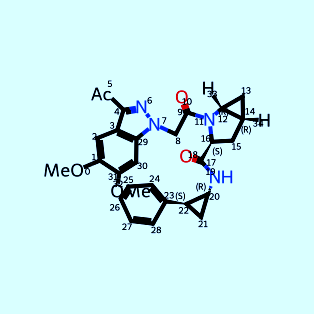 COc1cc2c(C(C)=O)nn(CC(=O)N3[C@@H]4C[C@@H]4C[C@H]3C(=O)N[C@@H]3C[C@H]3c3ccccc3)c2cc1OC